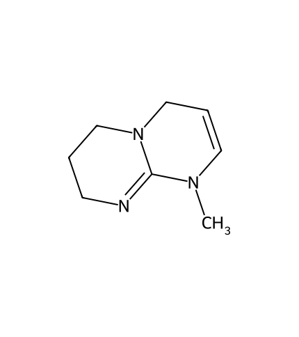 CN1C=CCN2CCCN=C12